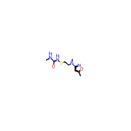 CNC(=O)NSCCN(C)c1cc(C)on1